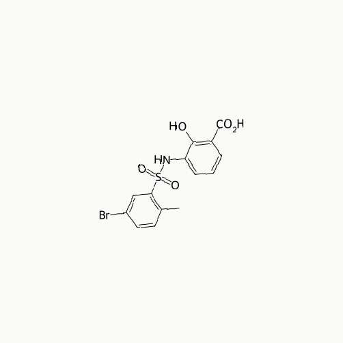 Cc1ccc(Br)cc1S(=O)(=O)Nc1cccc(C(=O)O)c1O